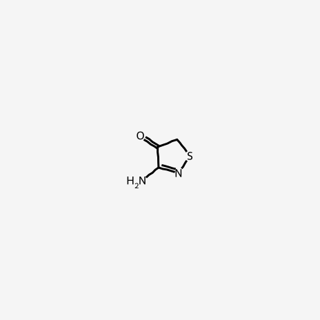 NC1=NSCC1=O